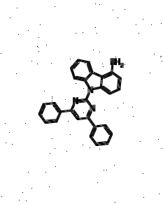 Bc1cccc2c1c1ccccc1n2-c1nc(-c2ccccc2)cc(-c2ccccc2)n1